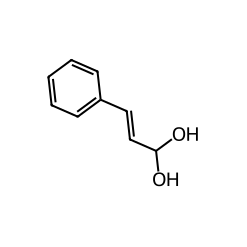 OC(O)C=Cc1ccccc1